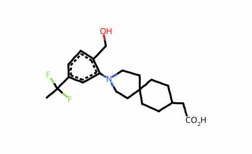 CC(F)(F)c1ccc(CO)c(N2CCC3(CCC(CC(=O)O)CC3)CC2)c1